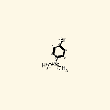 C[Si](C)c1ccc(Br)cc1